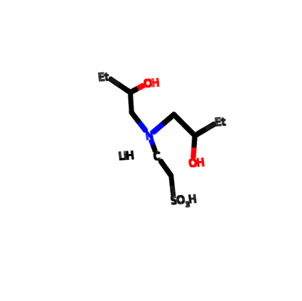 CCC(O)CN(CCS(=O)(=O)O)CC(O)CC.[LiH]